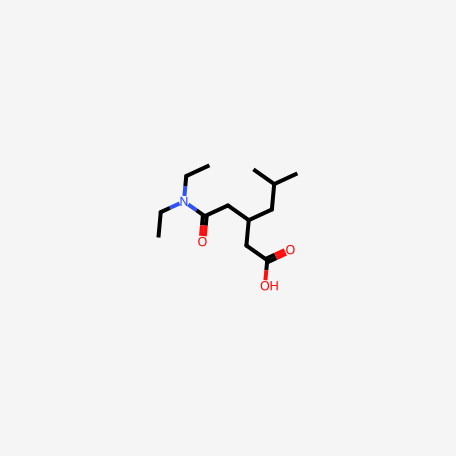 CCN(CC)C(=O)CC(CC(=O)O)CC(C)C